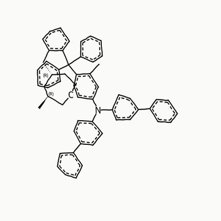 Cc1cc(N(c2ccc(-c3ccccc3)cc2)c2ccc(-c3ccccc3)cc2)ccc1C(c1ccccc1)(c1ccccc1)c1ccccc1C[C@@H]1CCCC[C@@H](C)C1